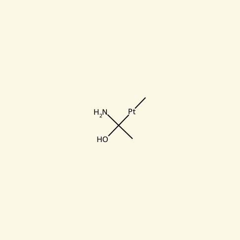 [CH3][Pt][C](C)(N)O